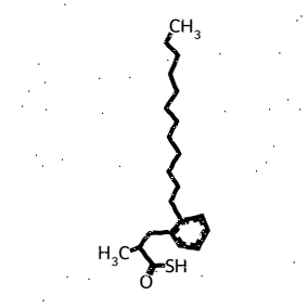 CCCCCCCCCCCCc1ccccc1CC(C)C(=O)S